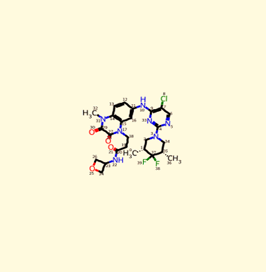 C[C@@H]1CN(c2ncc(Cl)c(Nc3ccc4c(c3)n(CCC(=O)NC3COC3)c(=O)c(=O)n4C)n2)C[C@H](C)C1(F)F